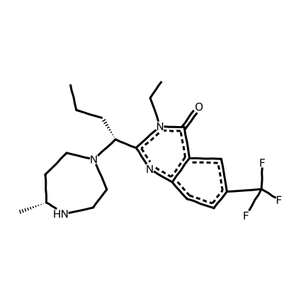 CCC[C@H](c1nc2ccc(C(F)(F)F)cc2c(=O)n1CC)N1CCN[C@H](C)CC1